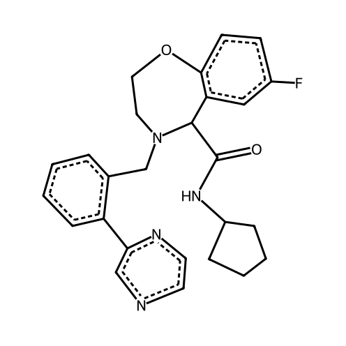 O=C(NC1CCCC1)C1c2cc(F)ccc2OCCN1Cc1ccccc1-c1cnccn1